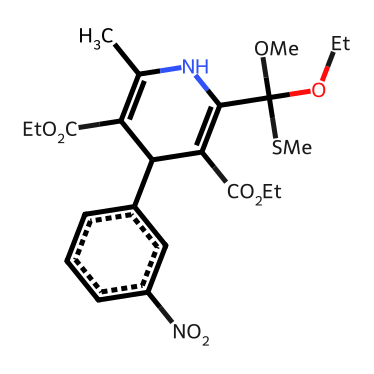 CCOC(=O)C1=C(C)NC(C(OC)(OCC)SC)=C(C(=O)OCC)C1c1cccc([N+](=O)[O-])c1